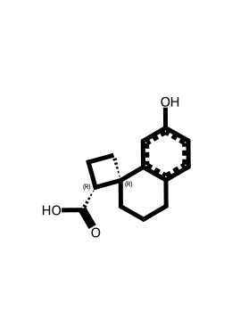 O=C(O)[C@@H]1CC[C@]12CCCc1ccc(O)cc12